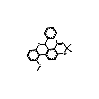 COc1cccc2c1-c1ccc3c(c1C(c1ccccc1)O2)C(C)=NC(C)(C)N3